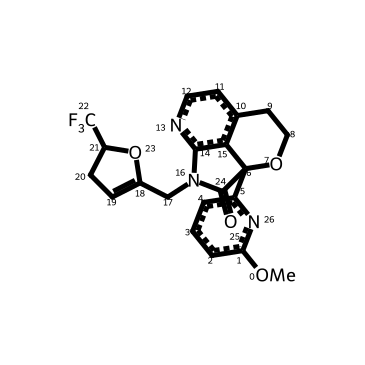 COc1cccc(C23OCCc4ccnc(c42)N(CC2=CCC(C(F)(F)F)O2)C3=O)n1